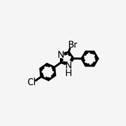 Clc1ccc(-c2nc(Br)c(-c3ccccc3)[nH]2)cc1